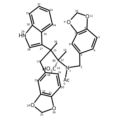 CC(=O)N(Cc1ccc2c(c1)OCO2)[C@@](C)(C(=O)O)C(C)(Cc1ccc2c(c1)OCO2)c1c[nH]c2ccccc12